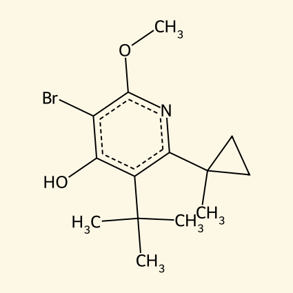 COc1nc(C2(C)CC2)c(C(C)(C)C)c(O)c1Br